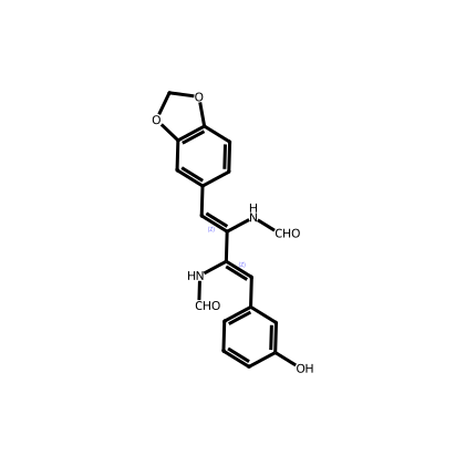 O=CNC(=C\c1cccc(O)c1)/C(=C/c1ccc2c(c1)OCO2)NC=O